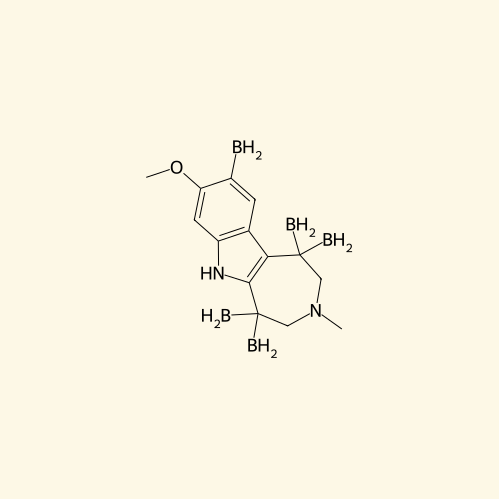 Bc1cc2c3c([nH]c2cc1OC)C(B)(B)CN(C)CC3(B)B